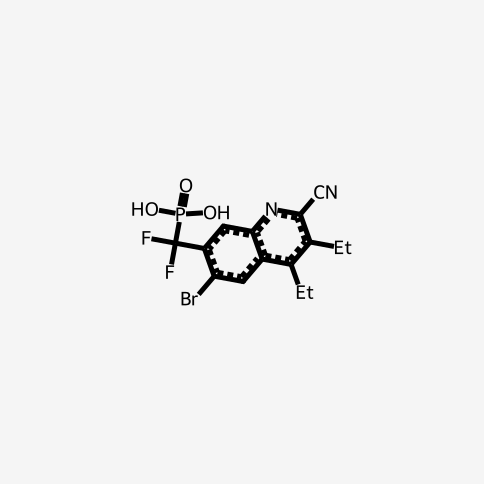 CCc1c(C#N)nc2cc(C(F)(F)P(=O)(O)O)c(Br)cc2c1CC